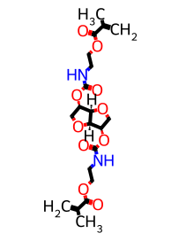 C=C(C)C(=O)OCCNC(=O)O[C@@H]1CO[C@H]2[C@@H]1OC[C@H]2OC(=O)NCCOC(=O)C(=C)C